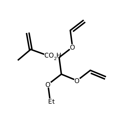 C=C(C)C(=O)O.C=COCC(OC=C)OCC